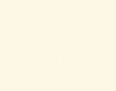 C/C=C\c1[nH]c2c(c1/C=C/Cl)C[C@@]1(C)C(=O)N(CCN3CCC(C)CC3)C(=O)N1[C@@H]2c1cccc(O)c1